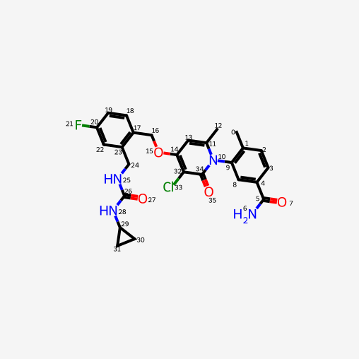 Cc1ccc(C(N)=O)cc1-n1c(C)cc(OCc2ccc(F)cc2CNC(=O)NC2CC2)c(Cl)c1=O